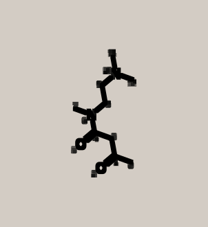 CC(=O)CC(=O)N(C)CCN(C)C